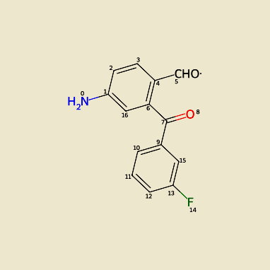 Nc1ccc([C]=O)c(C(=O)c2cccc(F)c2)c1